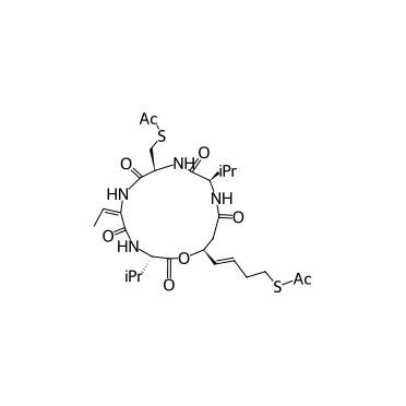 C/C=C1/NC(=O)[C@@H](CSC(C)=O)NC(=O)[C@@H](C(C)C)NC(=O)C[C@@H](/C=C/CCSC(C)=O)OC(=O)[C@H](C(C)C)NC1=O